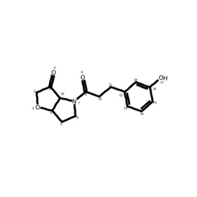 O=C1COC2CCN(C(=O)CCc3cccc(O)c3)C12